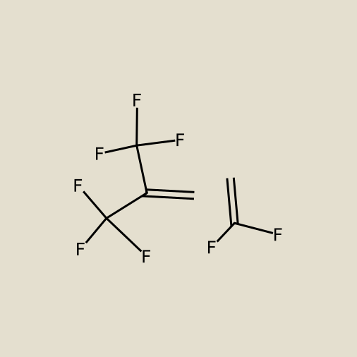 C=C(C(F)(F)F)C(F)(F)F.C=C(F)F